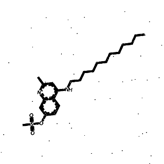 CCCCCCCCCCCCNc1cc(C)nc2cc(OS(C)(=O)=O)ccc12